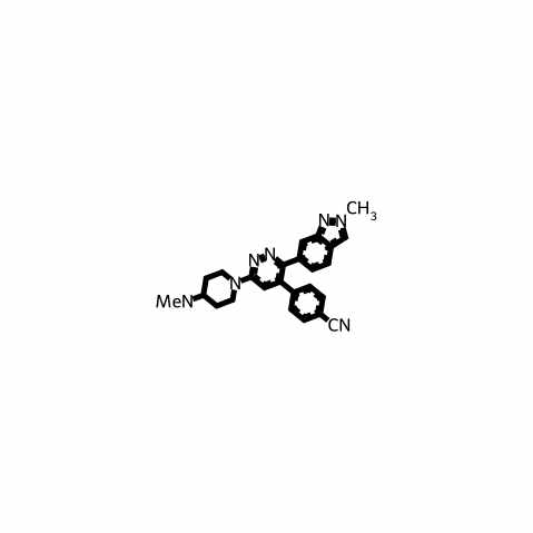 CNC1CCN(c2cc(-c3ccc(C#N)cc3)c(-c3ccc4cn(C)nc4c3)nn2)CC1